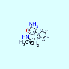 CC1(C)CC(C(CCN)c2ccccc2)C(=O)N1